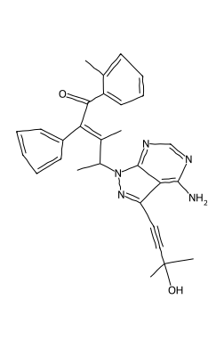 C/C(=C(\C(=O)c1ccccc1C)c1ccccc1)C(C)n1nc(C#CC(C)(C)O)c2c(N)ncnc21